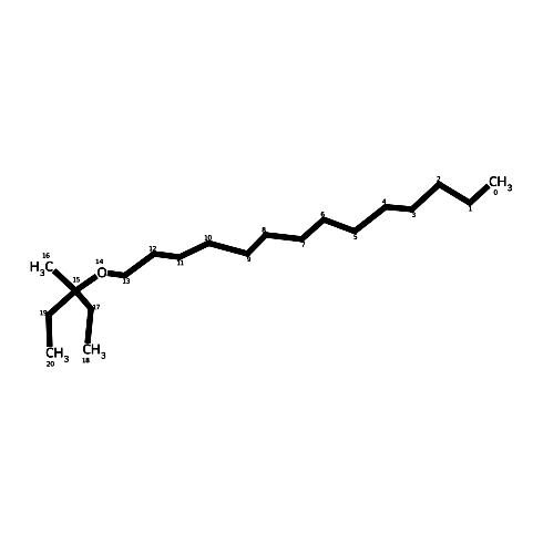 CCCCCCCCCCCCCCOC(C)(CC)CC